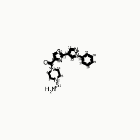 NSN1CCN(C(=O)c2csc(-c3cnn(-c4ccccc4)c3)n2)CC1